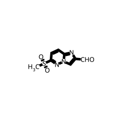 CS(=O)(=O)c1ccc2nc(C=O)cn2n1